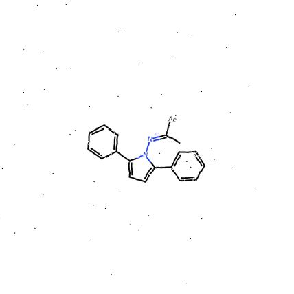 CC(=O)/C(C)=N/n1c(-c2ccccc2)ccc1-c1ccccc1